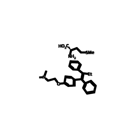 CC/C(=C(\c1ccccc1)c1ccc(OCCN(C)C)cc1)c1ccccc1.CSCC[C@H](N)C(=O)O